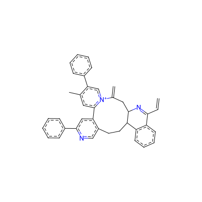 C=CC1=NC2CC(=C)[n+]3cc(-c4ccccc4)c(C)cc3-c3cc(-c4ccccc4)ncc3CCC2c2ccccc21